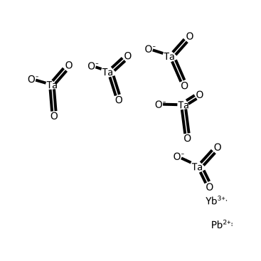 [O]=[Ta](=[O])[O-].[O]=[Ta](=[O])[O-].[O]=[Ta](=[O])[O-].[O]=[Ta](=[O])[O-].[O]=[Ta](=[O])[O-].[Pb+2].[Yb+3]